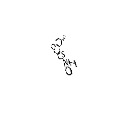 O=CNc1cc2c(s1)-c1cc(F)ccc1OC2